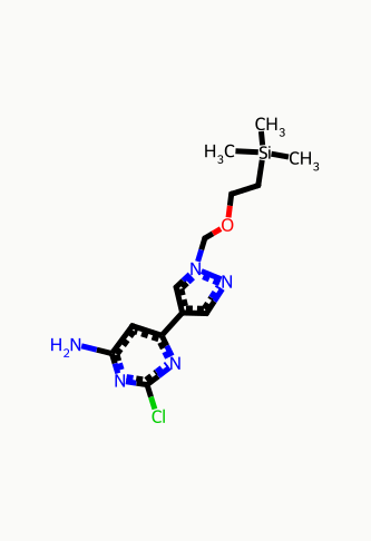 C[Si](C)(C)CCOCn1cc(-c2cc(N)nc(Cl)n2)cn1